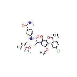 COc1cn(C(CCOC(C)(C)C)C(=O)Nc2ccc(C(N)=O)cc2)c(=O)cc1-c1cc(Cl)ccc1C(C)=O